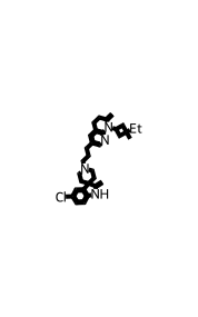 C=C1CCc2cc(CCCN3CCC4(CC3)C(=C)Nc3ccc(Cl)cc34)cnc2N1C1CC(C)(CC)C1